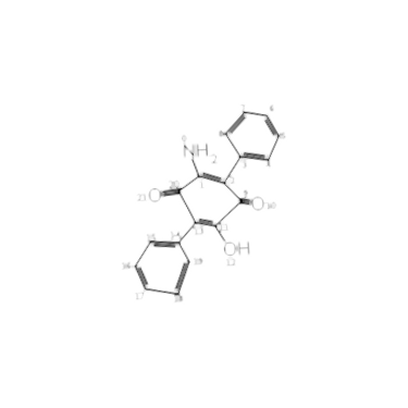 NC1=C(c2ccccc2)C(=O)C(O)=C(c2ccccc2)C1=O